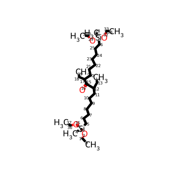 CCO[Si](C)(CCCCCCCC(CC)C(=O)C(CC)CCCCCCC[Si](C)(OCC)OCC)OCC